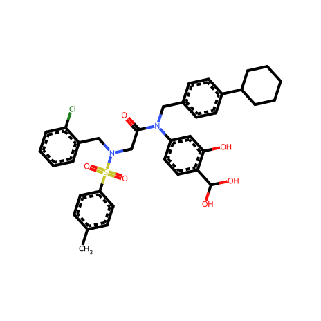 Cc1ccc(S(=O)(=O)N(CC(=O)N(Cc2ccc(C3CCCCC3)cc2)c2ccc(C(O)O)c(O)c2)Cc2ccccc2Cl)cc1